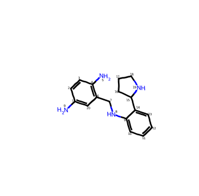 Nc1ccc(N)c(CNc2ccccc2C2CCCN2)c1